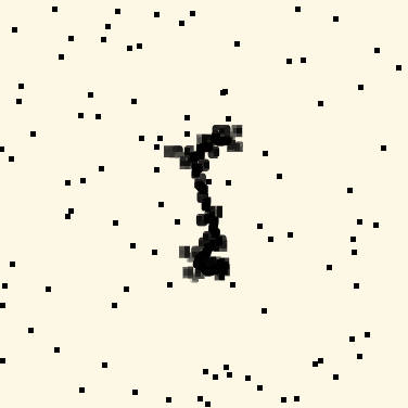 CC(=O)CCC(NC(=O)CCC(NC(=O)COCCOCCNC(=O)CCCS(=O)(=O)NC(=O)CC(C)CC(C)(C)Cc1nnn[nH]1)C(=O)O)C(=O)O